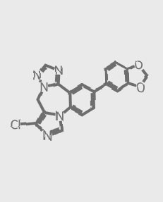 Clc1ncn2c1Cn1ncnc1-c1cc(-c3ccc4c(c3)OCO4)ccc1-2